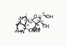 COc1nncc2ncn([C@@H]3O[C@H](CO)[C@@H](O)[C@H]3O)c12